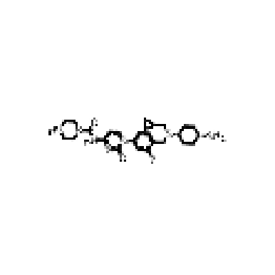 N[C@H]1CC[C@H](N(Cc2ccc(-n3ccc(NC(=O)N4CCNCC4)nc3=O)cc2F)CC2CC2)CC1